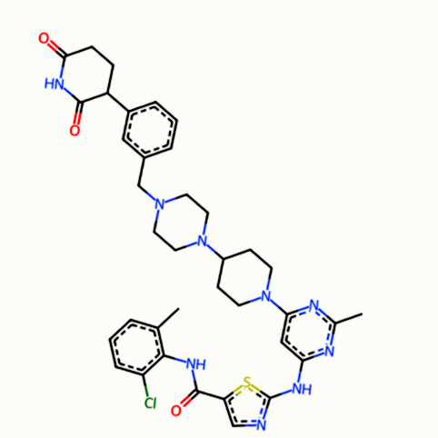 Cc1nc(Nc2ncc(C(=O)Nc3c(C)cccc3Cl)s2)cc(N2CCC(N3CCN(Cc4cccc(C5CCC(=O)NC5=O)c4)CC3)CC2)n1